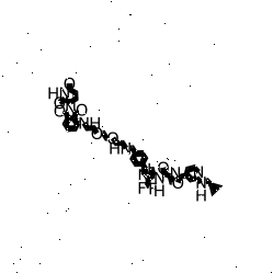 O=C1CCC(N2C(=O)c3cccc(NCCOCCOCCNCc4ccc(-n5cc(NC(=O)c6coc(-c7ccnc(NCC8CC8)c7)n6)c(C(F)F)n5)cc4)c3C2=O)C(=O)N1